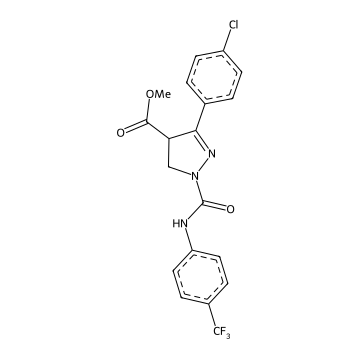 COC(=O)C1CN(C(=O)Nc2ccc(C(F)(F)F)cc2)N=C1c1ccc(Cl)cc1